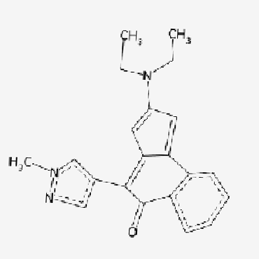 CCN(CC)C1=CC2=C(c3cnn(C)c3)C(=O)c3ccccc3C2=C1